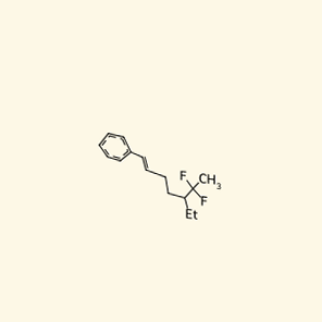 CCC(CC/C=C/c1ccccc1)C(C)(F)F